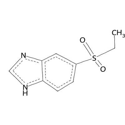 CCS(=O)(=O)c1ccc2[nH]cnc2c1